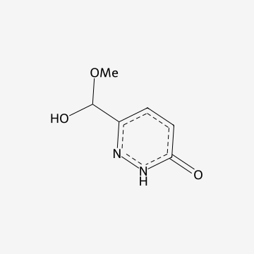 COC(O)c1ccc(=O)[nH]n1